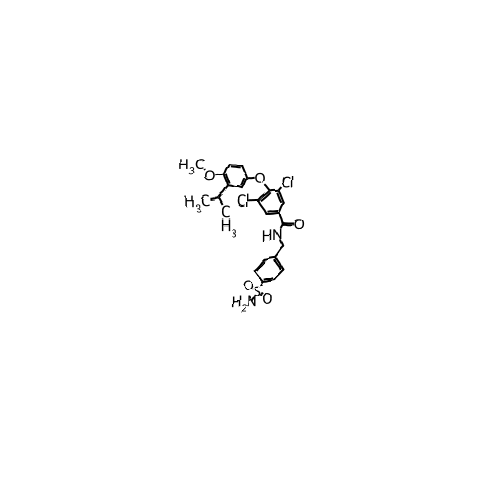 COc1ccc(Oc2c(Cl)cc(C(=O)NCc3ccc(S(N)(=O)=O)cc3)cc2Cl)cc1C(C)C